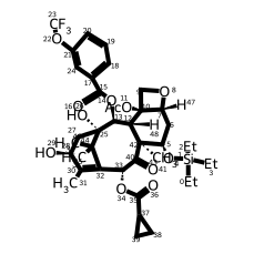 CC[Si](CC)(CC)O[C@H]1C[C@H]2OC[C@@]2(OC(C)=O)[C@H]2[C@H](OC(=O)c3cccc(OC(F)(F)F)c3)[C@]3(O)C[C@H](O)C(C)=C([C@@H](OC(=O)C4CC4)C(=O)[C@]12C)C3(C)C